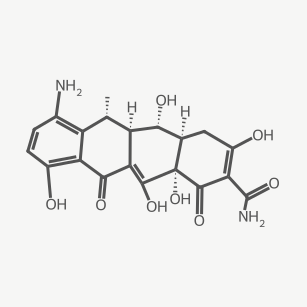 C[C@H]1c2c(N)ccc(O)c2C(=O)C2=C(O)[C@]3(O)C(=O)C(C(N)=O)=C(O)C[C@@H]3[C@@H](O)[C@@H]21